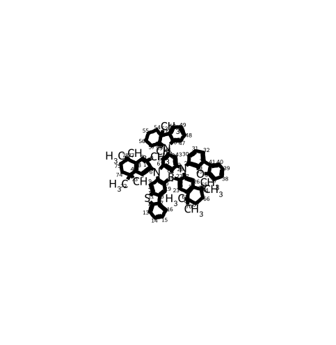 Cc1cc2c(cc1N1c3cc4sc5ccccc5c4cc3B3c4cc5c(cc4N(c4cccc6c4oc4ccccc46)c4cc(N6c7ccccc7C7(C)CCCCC67C)cc1c43)C(C)(C)CCC5(C)C)C(C)(C)CCC2(C)C